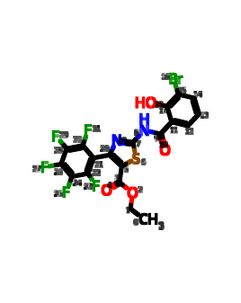 CCOC(=O)c1sc(NC(=O)c2cccc(Br)c2O)nc1-c1c(F)c(F)c(F)c(F)c1F